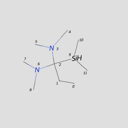 CCC(N(C)C)(N(C)C)[SiH](C)C